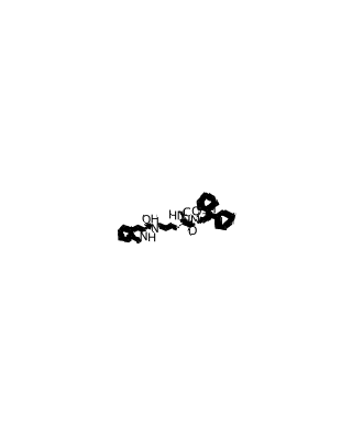 O=C(O)N[C@@H](CCCCNC(=O)[C@@H]1Cc2ccccc2CN1)C(=O)NCC(c1ccccc1)c1ccccc1